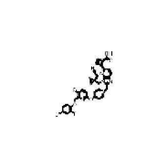 N#CCC1(Cn2c(CN3CCC(Oc4ccc(F)c(COc5ccc(Cl)cc5F)n4)CC3)nc3ccc(C4C#CC4C(=O)O)nc32)CC1